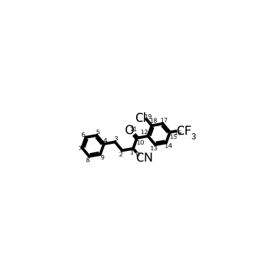 N#CC(CCc1ccccc1)C(=O)c1ccc(C(F)(F)F)cc1Cl